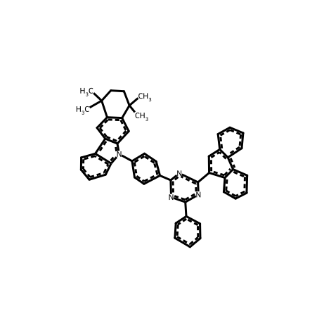 CC1(C)CCC(C)(C)c2cc3c(cc21)c1ccccc1n3-c1ccc(-c2nc(-c3ccccc3)nc(-c3cc4ccccc4c4ccccc34)n2)cc1